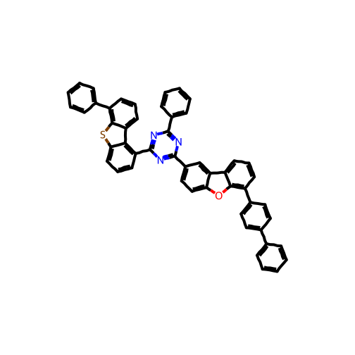 c1ccc(-c2ccc(-c3cccc4c3oc3ccc(-c5nc(-c6ccccc6)nc(-c6cccc7sc8c(-c9ccccc9)cccc8c67)n5)cc34)cc2)cc1